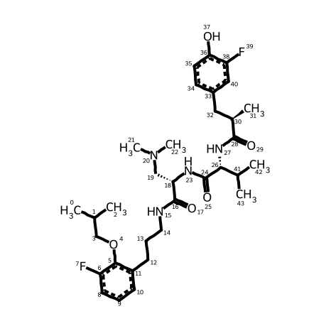 CC(C)COc1c(F)cccc1CCCNC(=O)[C@H](CN(C)C)NC(=O)[C@H](NC(=O)[C@H](C)Cc1ccc(O)c(F)c1)C(C)C